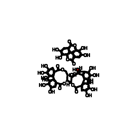 O=C1OC[C@@H](O)[C@H]([C@@H]2OC(=O)c3cc(O)c(O)c(O)c3-c3c(O)c(O)c(O)c4c3C(=O)O[C@H]2[C@@H]4O)OC(=O)c2cc(O)c(O)c(O)c2-c2c1cc(O)c(O)c2O.O=c1oc2c(O)c(O)cc3c(=O)oc4c(O)c(O)cc1c4c23